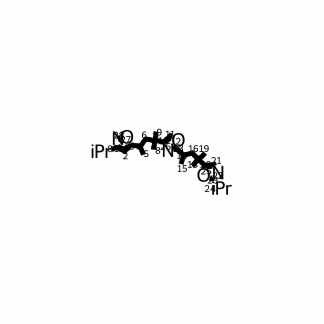 CC(C)c1cc(C(C)CC(C)(C)c2coc(C(C)CC(C)(C)c3cnc(C(C)C)o3)n2)on1